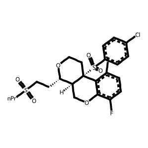 CCCS(=O)(=O)CC[C@@H]1OCC[C@@]2(S(=O)(=O)c3ccc(Cl)cc3)c3c(F)ccc(F)c3OC[C@@H]12